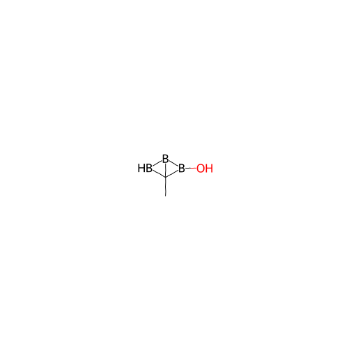 CC12BB1B2O